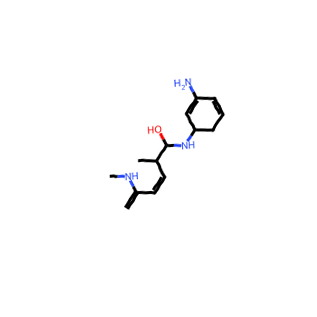 C=C(/C=C\C(C)C(O)NC1C=C(N)C=CC1)NC